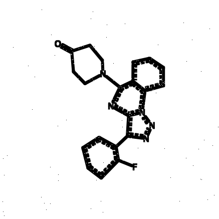 O=C1CCN(c2nc3c(-c4ccccc4F)nnn3c3ccccc23)CC1